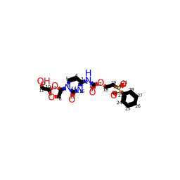 O=C(Nc1ccn(C2COC(CO)O2)c(=O)n1)OCCS(=O)(=O)c1ccccc1